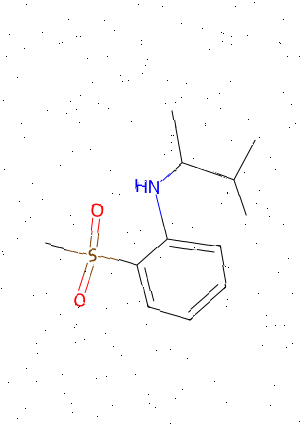 CC(C)C(C)Nc1ccccc1S(C)(=O)=O